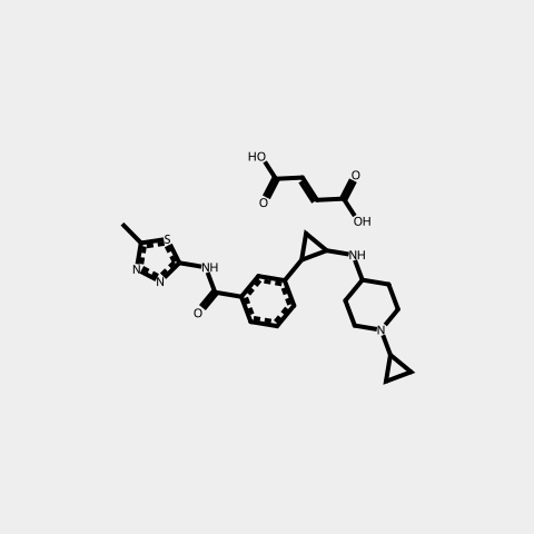 Cc1nnc(NC(=O)c2cccc(C3CC3NC3CCN(C4CC4)CC3)c2)s1.O=C(O)/C=C/C(=O)O